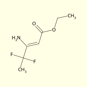 CCOC(=O)/C=C(\N)C(C)(F)F